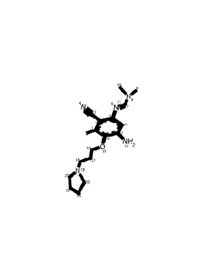 Cc1c(C#N)c(/N=C/N(C)C)cc(N)c1OCCCN1CCCC1